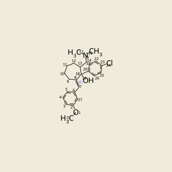 COc1cccc(/C=C2\CCCCC(CN(C)C)C2(O)c2ccc(Cl)cc2)c1